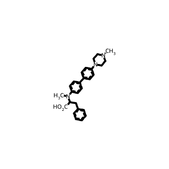 CN1CCN(c2ccc(-c3ccc(N(C)C(Cc4ccccc4)C(=O)O)cc3)cc2)CC1